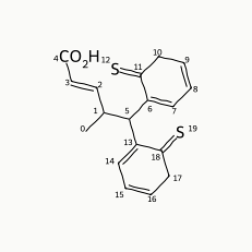 CC(C=CC(=O)O)C(C1=CC=CCC1=S)C1=CC=CCC1=S